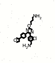 Cl.NCCCCOc1cnc(-c2ccc(CN)cc2)c(-c2ccc(-c3ccoc3)cc2)n1